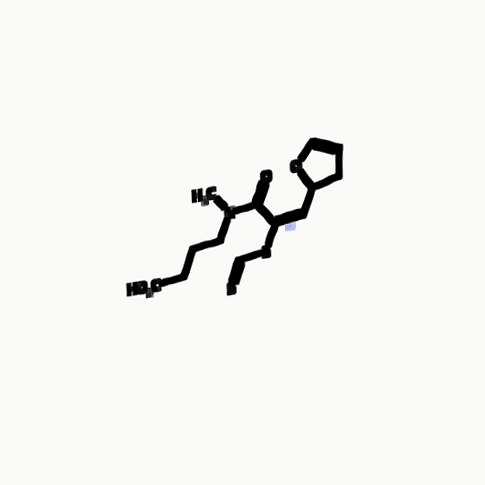 CN(CCCC(=O)O)C(=O)/C(=C\C1CC=CO1)SC=S